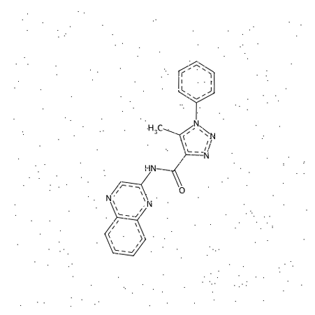 Cc1c(C(=O)Nc2cnc3ccccc3n2)nnn1-c1ccccc1